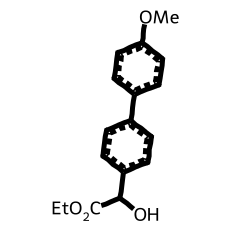 CCOC(=O)C(O)c1ccc(-c2ccc(OC)cc2)cc1